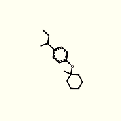 CCC(I)c1ccc(OC2(C)CCCCC2)cc1